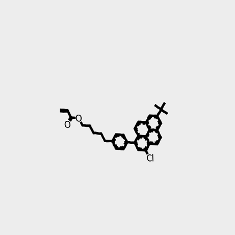 C=CC(=O)OCCCCCc1ccc(-c2cc(Cl)c3ccc4cc(C(C)(C)C)cc5ccc2c3c45)cc1